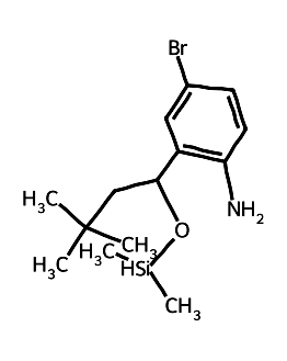 C[SiH](C)OC(CC(C)(C)C)c1cc(Br)ccc1N